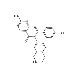 Nc1ncc(C(=O)N(C(=O)c2ccc(O)cc2)c2ccc3c(c2)CNCC3)cn1